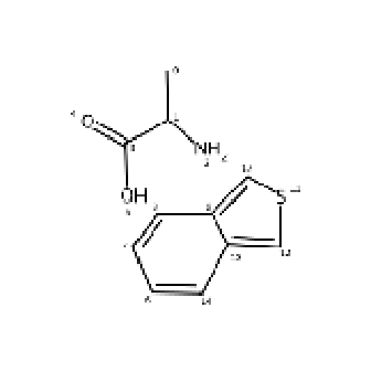 CC(N)C(=O)O.c1ccc2cscc2c1